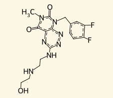 Cn1c(=O)c2nc(NCCNCCO)nnc2n(Cc2ccc(F)c(F)c2)c1=O